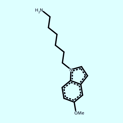 COc1ccc2c(ccn2CCCCCCN)c1